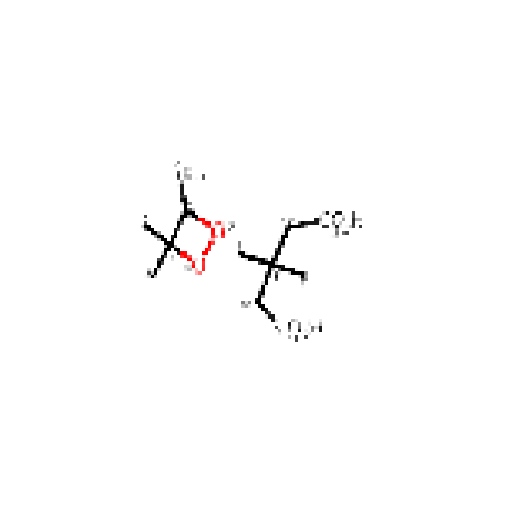 CC(C)(C)C1OOC1(C)C.CC(C)(CC(=O)O)CC(=O)O